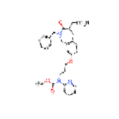 CC(C)(C)OC(=O)N(CCCOc1ccc2c(c1)CN(Cc1ccccc1)C(=O)C(CC(=O)O)C2)c1ccccn1